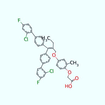 CCC(COc1ccc(OCC(=O)O)c(C)c1)=C(c1ccc(-c2ccc(F)cc2Cl)cc1)c1ccc(-c2ccc(F)cc2Cl)cc1